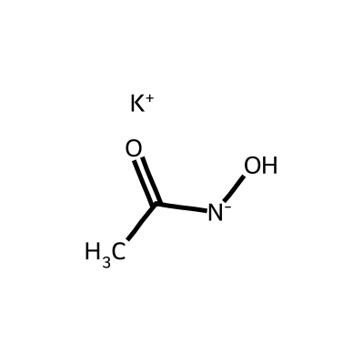 CC(=O)[N-]O.[K+]